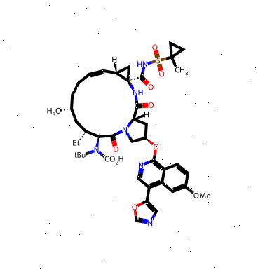 CC[C@@H]1C[C@H](C)CC/C=C\[C@@H]2C[C@@]2(C(=O)NS(=O)(=O)C2(C)CC2)NC(=O)[C@@H]2C[C@@H](Oc3ncc(-c4cnco4)c4cc(OC)ccc34)CN2C(=O)[C@H]1N(C(=O)O)C(C)(C)C